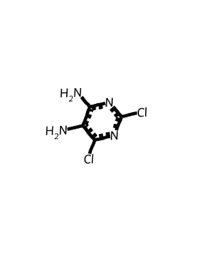 Nc1nc(Cl)nc(Cl)c1N